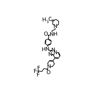 C[C@H]1CCCN(CCNC(=O)c2ccc(Nc3nc4c(C5=CCN(C(=O)CCC(F)(F)F)CC5)cccn4n3)cc2)C1